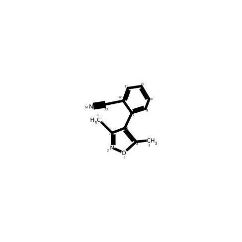 Cc1noc(C)c1-c1ccccc1C#N